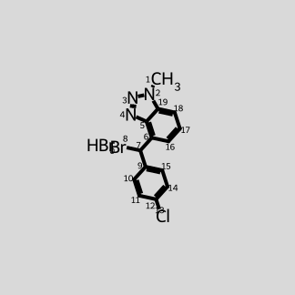 Br.Cn1nnc2c(C(Br)c3ccc(Cl)cc3)cccc21